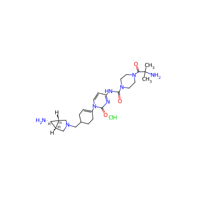 CC(C)(N)C(=O)N1CCN(C(=O)Nc2ccn(C3=CCC(CN4C[C@@H]5[C@H](N)[C@@H]5C4)CC3)c(=O)n2)CC1.Cl